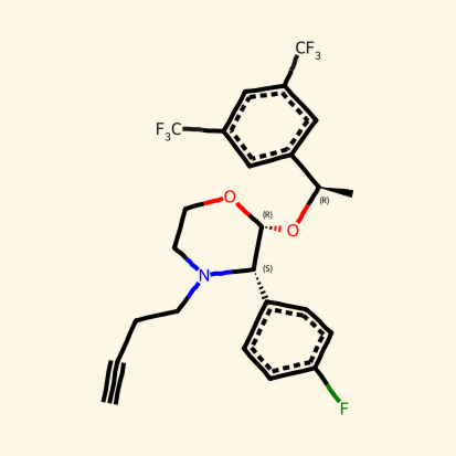 C#CCCN1CCO[C@H](O[C@H](C)c2cc(C(F)(F)F)cc(C(F)(F)F)c2)[C@@H]1c1ccc(F)cc1